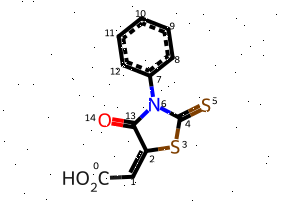 O=C(O)C=C1SC(=S)N(c2ccccc2)C1=O